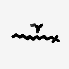 CC(=O)O.CCCCCCCCCCCC[N+](C)(C)C